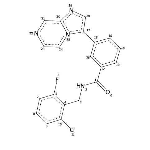 O=C(NCc1c(F)cccc1Cl)c1cccc(-c2cnc3cnccn23)c1